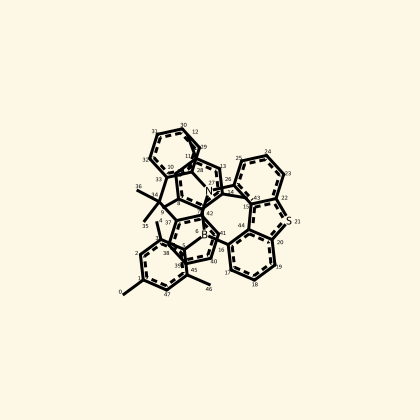 Cc1cc(C)c(B(c2c(C)cc(C)cc2C)c2cccc3sc4cccc(N5c6ccccc6C(C)(C)c6ccccc65)c4c23)c(C)c1